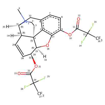 CN1CC[C@]23c4c5ccc(OC(=O)C(F)(F)C(F)(F)F)c4O[C@H]2[C@@H](OC(=O)C(F)(F)C(F)(F)F)C=C[C@H]3[C@H]1C5